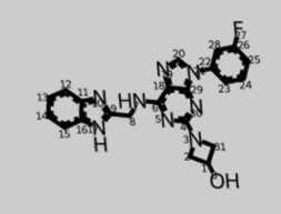 OC1CN(c2nc(NCc3nc4ccccc4[nH]3)c3ncn(-c4cccc(F)c4)c3n2)C1